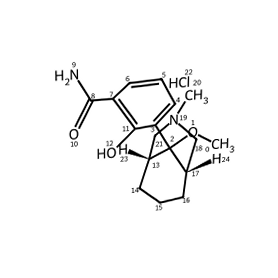 COC1(c2cccc(C(N)=O)c2O)[C@@H]2CCC[C@H]1CN(C)C2.Cl